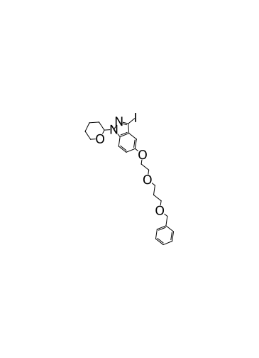 Ic1nn(C2CCCCO2)c2ccc(OCCOCCCOCc3ccccc3)cc12